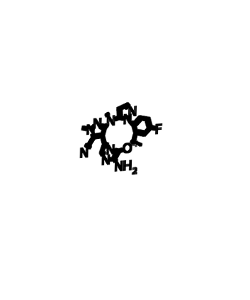 C[C@H]1Oc2nc(cnc2N)-c2c(nn(C)c2C#N)N(C)c2ccnn2-c2ccc(F)cc21